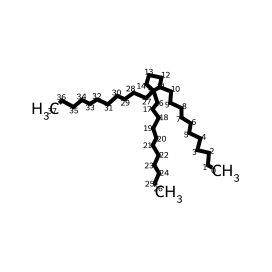 CCCCCCCCCCCC1CCCC1(CCCCCCCCCCC)CCCCCCCCCCC